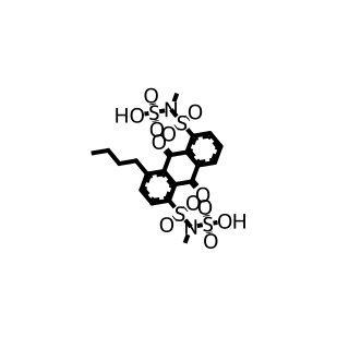 CCCCc1ccc(S(=O)(=O)N(C)S(=O)(=O)O)c2c1C(=O)c1c(cccc1S(=O)(=O)N(C)S(=O)(=O)O)C2=O